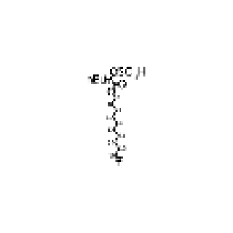 CCCCC(OS(=O)(=O)O)C(=O)OCCCCCCCCCCF